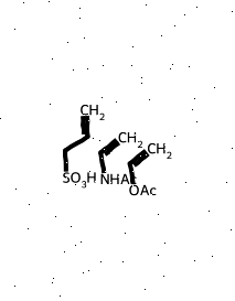 C=CCS(=O)(=O)O.C=CNC(C)=O.C=COC(C)=O